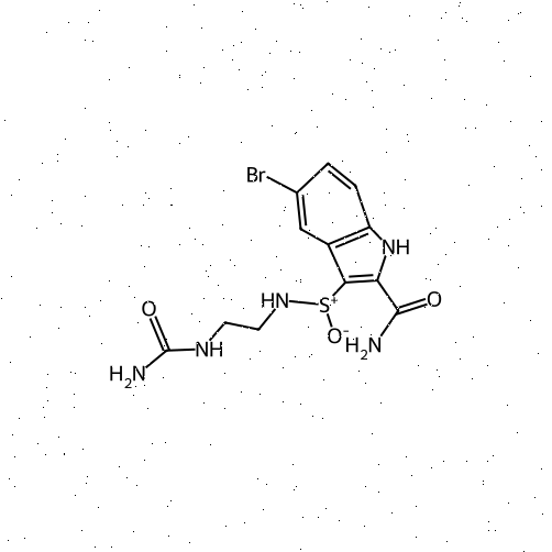 NC(=O)NCCN[S+]([O-])c1c(C(N)=O)[nH]c2ccc(Br)cc12